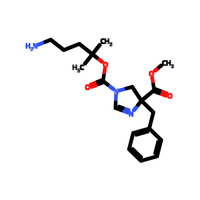 COC(=O)C1(Cc2ccccc2)CN(C(=O)OC(C)(C)CCCN)C=N1